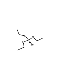 CCOP(=[Se])(OCC)OCC